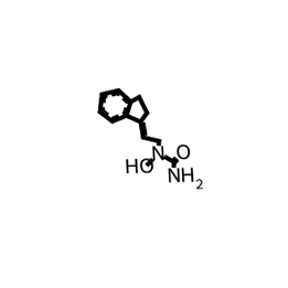 NC(=O)N(O)CC=C1CCc2ccccc21